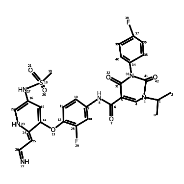 CC(C)n1cc(C(=O)Nc2ccc(OC3=CC(NS(C)(=O)=O)=CN/C3=C\C=N)c(F)c2)c(=O)n(-c2ccc(F)cc2)c1=O